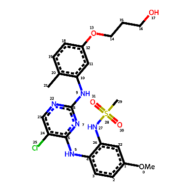 COc1ccc(Nc2nc(Nc3cc(OCCCO)ccc3C)ncc2Cl)c(NS(C)(=O)=O)c1